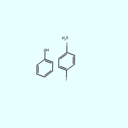 Ic1ccc(I)cc1.Oc1ccccc1.S